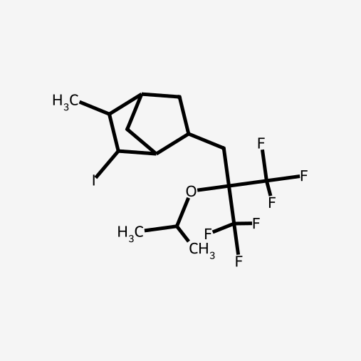 CC(C)OC(CC1CC2CC1C(I)C2C)(C(F)(F)F)C(F)(F)F